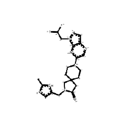 Cc1ncc(CN2CC3(CCN(c4cnc5cnn(CC(F)F)c5n4)CC3)CC2=O)o1